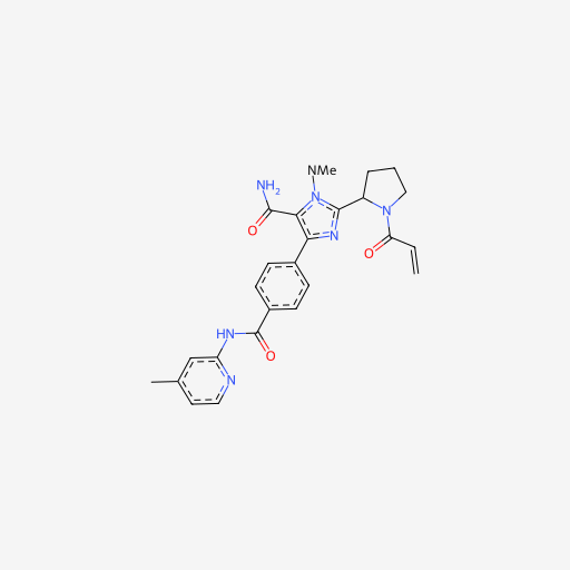 C=CC(=O)N1CCCC1c1nc(-c2ccc(C(=O)Nc3cc(C)ccn3)cc2)c(C(N)=O)n1NC